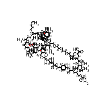 C=CCC[C@@H]1[C@H](CCCC)[C@@H]1COC(=O)NCCOCCOCCOCCOCCC(=O)N[C@@H](CCC(=O)O)C(=O)N[C@@H](C(C)C)C(O)N[C@@H](CCCNC(N)=O)C(=O)Nc1ccc(COC(=O)NCCNC(=O)O[C@H](C[C@H](C(C)C)N(CCCCCC)C(=O)[C@@H](NC(=O)[C@H]2CCCCN2C)[C@@H](C)CC)c2nc(C(=O)N[C@@H](Cc3ccc(N)c(F)c3)CC(C)(C)C(=O)O)cs2)cc1